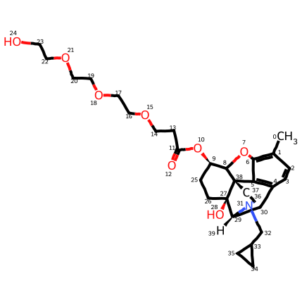 Cc1ccc2c3c1OC1[C@H](OC(=O)CCOCCOCCOCCO)CC[C@@]4(O)[C@@H](C2)N(CC2CC2)CC[C@]314